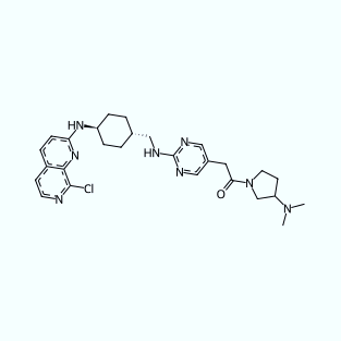 CN(C)C1CCN(C(=O)Cc2cnc(NC[C@H]3CC[C@H](Nc4ccc5ccnc(Cl)c5n4)CC3)nc2)C1